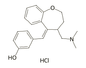 CN(C)CC1CCOc2ccccc2/C1=C\c1cccc(O)c1.Cl